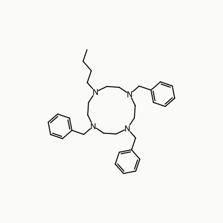 CCCCN1CCN(Cc2ccccc2)CCN(Cc2ccccc2)CCN(Cc2ccccc2)CC1